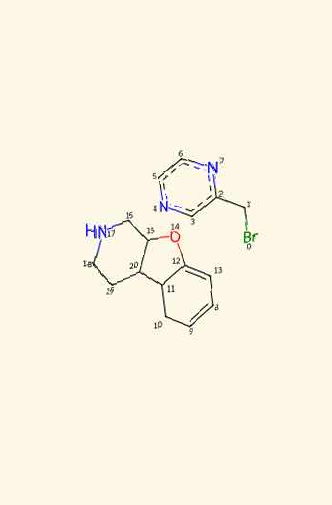 BrCc1cnccn1.C1=CCC2C(=C1)OC1CNCCC12